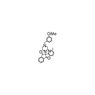 COc1cccc(CN2CCN(C3(c4cccc(C)n4)C(=O)c4ccccc4C3=O)CC2)c1